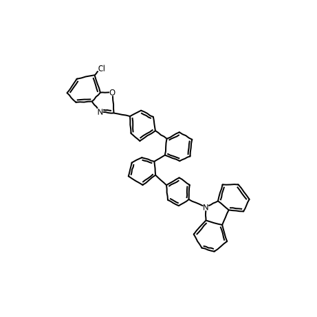 Clc1cccc2nc(-c3ccc(-c4ccccc4-c4ccccc4-c4ccc(-n5c6ccccc6c6ccccc65)cc4)cc3)oc12